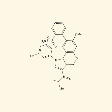 COc1cc2c(cc1-c1ccccc1C(N)=O)C1C(CO2)C(C(=O)N(C)C(C)(C)C)=NN1c1cc(Cl)cc(Cl)c1